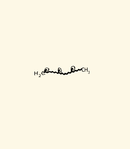 [CH2]C(C=O)CCCCCCCC(C=O)CCCCCCCC(C=O)CCCCCCC